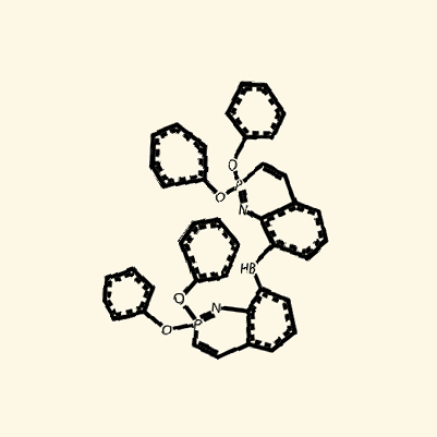 B(c1cccc2c1N=P(Oc1ccccc1)(Oc1ccccc1)C=C2)c1cccc2c1N=P(Oc1ccccc1)(Oc1ccccc1)C=C2